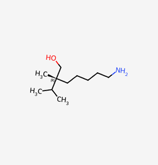 CC(C)[C@](C)(CO)CCCCCN